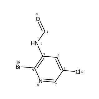 O=[C]Nc1cc(Cl)cnc1Br